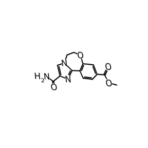 COC(=O)c1ccc2c(c1)OCCn1cc(C(N)=O)nc1-2